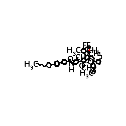 CCCCCC1CCC(c2ccc(-c3ccc(C(=O)Nc4ccc(-c5cc6c7c(c8c(c6cc5OC)OC(c5ccccc5)(c5ccc(OC)cc5)C=C8)C(C)(C)c5c-7cc(C)cc5C(F)(F)F)c(C)c4)cc3)cc2)CC1